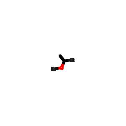 [CH]CC(C)OCC